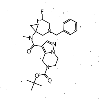 CN(C(=O)c1cnn2c1CN(C(=O)OC(C)(C)C)CC2)C1(CN(Cc2ccccc2)CC(F)F)CC1